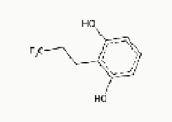 Oc1cccc(O)c1CCC(F)(F)F